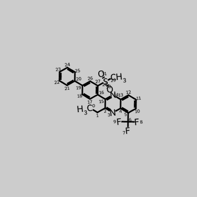 CCc1nc2c(C(F)(F)F)cccc2nc1-c1ccc(-c2ccccc2)cc1S(C)(=O)=O